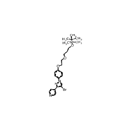 CC(C)(C)[Si](C)(C)OCCCOCCOc1ccc(-n2cc(Br)c(-c3ccncc3)n2)cc1